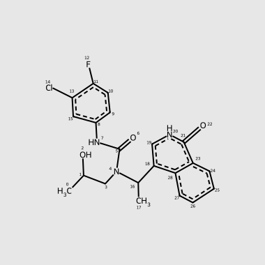 CC(O)CN(C(=O)Nc1ccc(F)c(Cl)c1)C(C)c1c[nH]c(=O)c2ccccc12